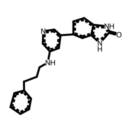 O=c1[nH]c2ccc(-c3cncc(NCCCc4ccccc4)c3)cc2[nH]1